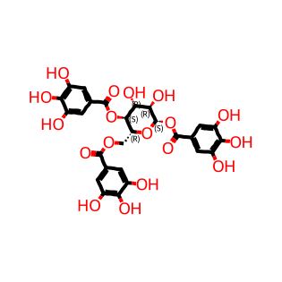 O=C(OC[C@H]1O[C@@H](OC(=O)c2cc(O)c(O)c(O)c2)[C@H](O)[C@@H](O)[C@@H]1OC(=O)c1cc(O)c(O)c(O)c1)c1cc(O)c(O)c(O)c1